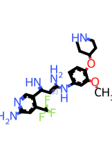 COc1cc(N/C(N)=C/C(=N)c2cnc(N)cc2C(F)(F)F)ccc1OC1CCNCC1